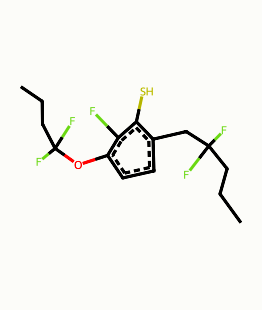 CCCC(F)(F)Cc1ccc(OC(F)(F)CCC)c(F)c1S